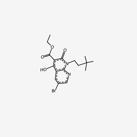 CCOC(=O)c1c(O)c2cc(Br)cnc2n(CCC(C)(C)C)c1=O